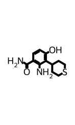 NC(=O)c1ccc(O)c(C2CCSCC2)c1N